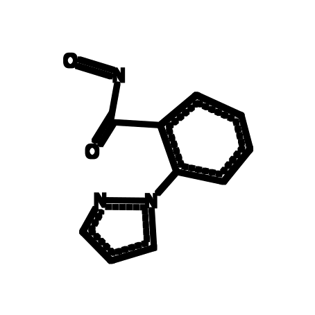 O=NC(=O)c1ccccc1-n1cccn1